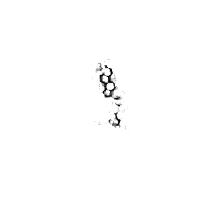 Cc1cc(C(=O)Nc2nc([C@H]3CC[C@H]4[C@@H]5CC[C@H]6N(C)C(=O)C=C[C@]6(C)[C@H]5CC[C@]34C)cs2)n(C(C)(C)C)n1